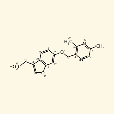 Cc1cnc(COc2ccc3c(CC(=O)O)coc3c2)c(C)n1